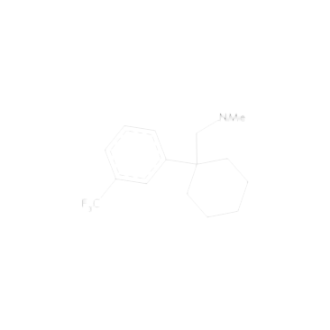 CNCC1(c2cccc(C(F)(F)F)c2)CCCCC1